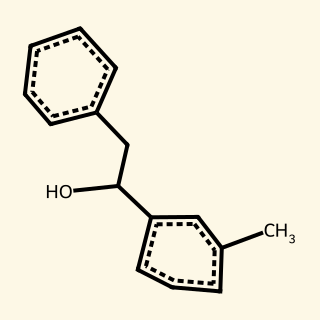 Cc1cccc(C(O)Cc2ccccc2)c1